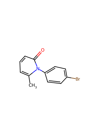 Cc1cccc(=O)n1-c1ccc(Br)cc1